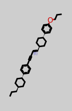 CCCOc1ccc([C@H]2CC[C@H](/C=C/C#Cc3ccc([C@H]4CC[C@H](CCC)CC4)cc3)CC2)cc1